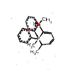 CNC1=CC=CC(C)P1(C)(c1ccccc1)c1ccccc1